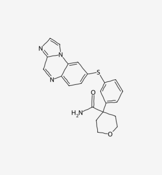 NC(=O)C1(c2cccc(Sc3ccc4ncc5nccn5c4c3)c2)CCOCC1